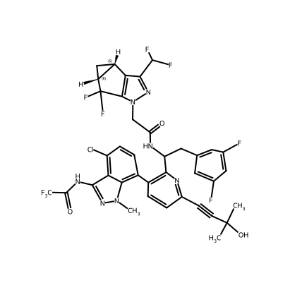 Cn1nc(NC(=O)C(F)(F)F)c2c(Cl)ccc(-c3ccc(C#CC(C)(C)O)nc3C(Cc3cc(F)cc(F)c3)NC(=O)Cn3nc(C(F)F)c4c3C(F)(F)[C@@H]3C[C@H]43)c21